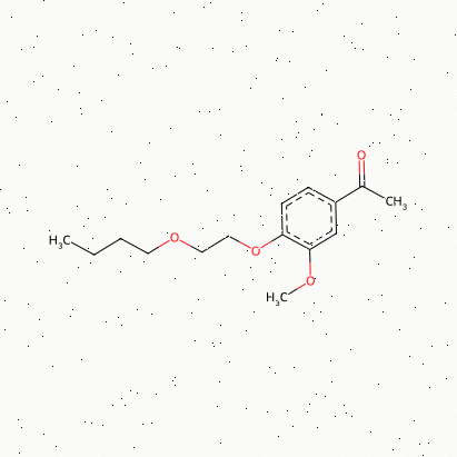 CCCCOCCOc1ccc(C(C)=O)cc1OC